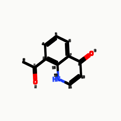 CC(=O)c1cccc2c(=O)cc[nH]c12